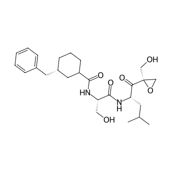 CC(C)C[C@H](NC(=O)[C@H](CO)NC(=O)C1CCC[C@@H](Cc2ccccc2)C1)C(=O)[C@@]1(CO)CO1